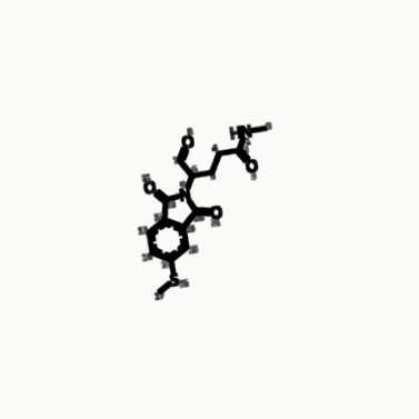 CNC(=O)CCC(C=O)N1C(=O)c2ccc(SC)cc2C1=O